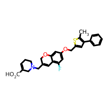 Cc1sc(COc2cc(F)c3c(c2)OCC(CN2CCC=C(C(=O)O)C2)=C3)cc1-c1ccccc1